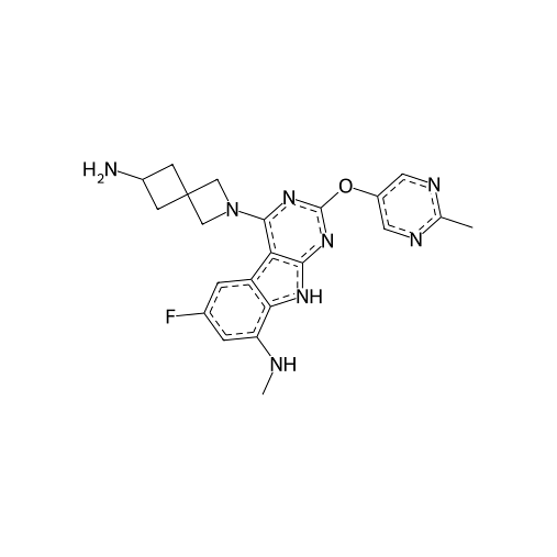 CNc1cc(F)cc2c1[nH]c1nc(Oc3cnc(C)nc3)nc(N3CC4(CC(N)C4)C3)c12